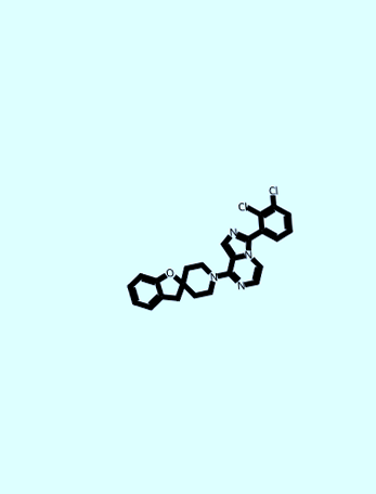 Clc1cccc(-c2ncc3c(N4CCC5(CC4)Cc4ccccc4O5)nccn23)c1Cl